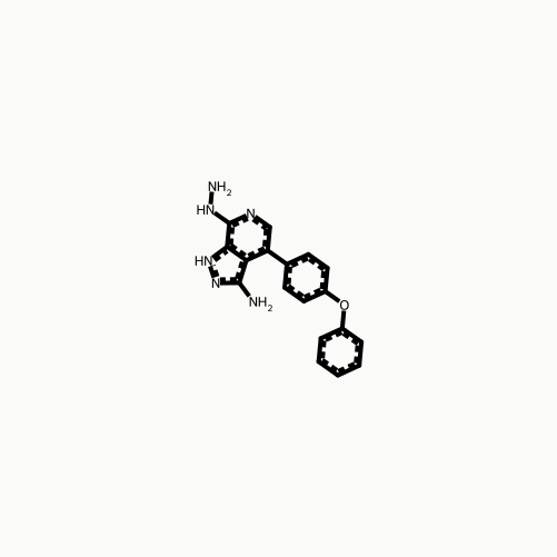 NNc1ncc(-c2ccc(Oc3ccccc3)cc2)c2c(N)n[nH]c12